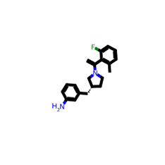 C=C(c1c(C)cccc1F)N1CC[C@H](Cc2cccc(N)c2)C1